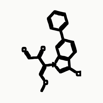 CO/C=C(/C(=O)C=O)n1cc(Cl)c2ccc(-c3ccccc3)cc21